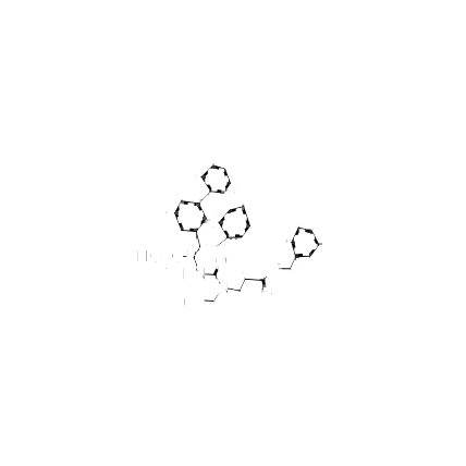 CC(C)CN(CCC(=O)OCc1ccccc1)C(=O)N[C@@H](C(=O)O)[C@@H](Cc1ccccc1)c1cccc(-c2ccccc2)c1